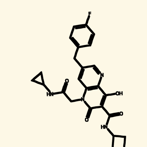 O=C(Cn1c(=O)c(C(=O)NC2CCC2)c(O)c2ncc(Cc3ccc(F)cc3)cc21)NC1CC1